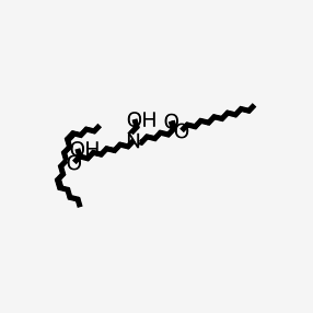 CCCC/C=C\CCC(CC/C=C\CCCC)OC(O)CCCCCCCN(CCO)CCCCCC(=O)OCCCCCCCCCCC